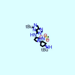 CC(C)(C)NC1CC[C@H](N2CC[C@H](Nc3ncnc4cnc(C(C)(C)C)nc34)C2=O)[C@H](NS(C)(=O)=O)C1